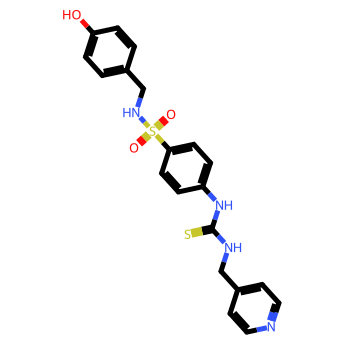 O=S(=O)(NCc1ccc(O)cc1)c1ccc(NC(=S)NCc2ccncc2)cc1